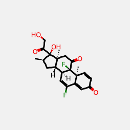 C[C@@H]1C[C@H]2[C@@H]3C=C(F)C4=CC(=O)C=C[C@]4(C)[C@@]3(F)C(=O)C[C@]2(C)[C@@]1(O)C(=O)CO